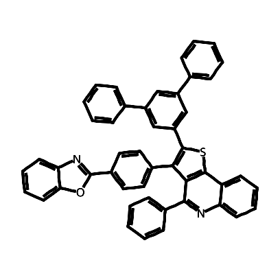 c1ccc(-c2cc(-c3ccccc3)cc(-c3sc4c(c(-c5ccccc5)nc5ccccc54)c3-c3ccc(-c4nc5ccccc5o4)cc3)c2)cc1